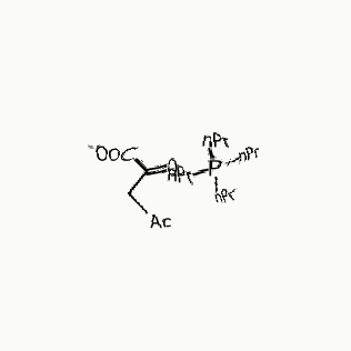 CC(=O)CC(=O)C(=O)[O-].CCC[P+](CCC)(CCC)CCC